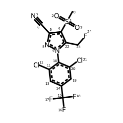 CS(=O)(=O)c1c(C#N)nn(-c2c(Cl)cc(C(F)(F)F)cc2Cl)c1CF